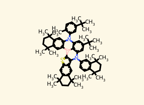 Cc1ccc(C(C)(C)C)cc1N1c2cc3c(cc2B2c4sc5cc6c(cc5c4N(c4ccc5c(c4)C(C)(C)CCC5(C)C)c4cc(C(C)(C)C)cc1c42)C(C)(C)CCC6(C)C)C(C)(C)CCC3(C)C